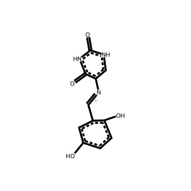 O=c1[nH]cc(/N=C/c2cc(O)ccc2O)c(=O)[nH]1